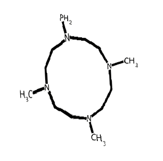 CN1CCN(C)CCN(P)CCN(C)CC1